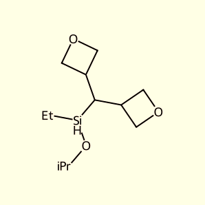 CC[SiH](OC(C)C)C(C1COC1)C1COC1